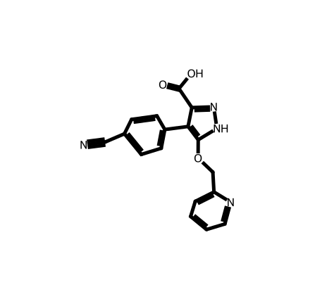 N#Cc1ccc(-c2c(C(=O)O)n[nH]c2OCc2ccccn2)cc1